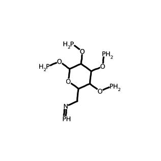 P=NCC1OC(OP)C(OP)C(OP)C1OP